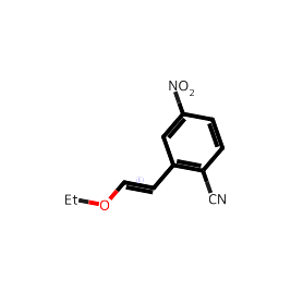 CCO/C=C/c1cc([N+](=O)[O-])ccc1C#N